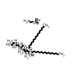 CCCCCCCCCCCCCCCC(=O)OC([C@H](CO)OC(=O)CCCCCCCCCCCCCCC)[C@@](C)(N)C(=O)N[C@H](CCC(=O)N[C@@H](C)C(=O)O)C(N)=O.NCCO[PH](=O)O